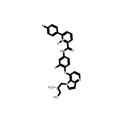 C[C@@H](CO)Cn1ccc2nccc(Oc3ccc(NC(=O)c4cccc(-c5ccc(F)cc5)[n+]4[O-])cc3F)c21